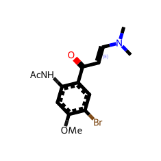 COc1cc(NC(C)=O)c(C(=O)/C=C/N(C)C)cc1Br